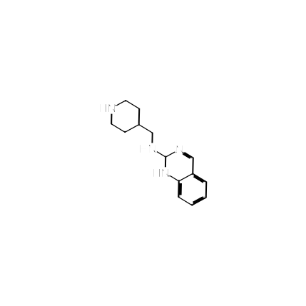 C1=NC(NCC2CCNCC2)Nc2ccccc21